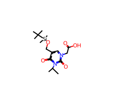 CC(C)n1c(=O)c(CO[Si](C)(C)C(C)(C)C)cn(CC(=O)O)c1=O